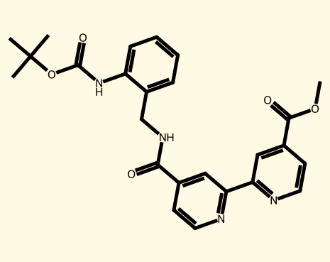 COC(=O)c1ccnc(-c2cc(C(=O)NCc3ccccc3NC(=O)OC(C)(C)C)ccn2)c1